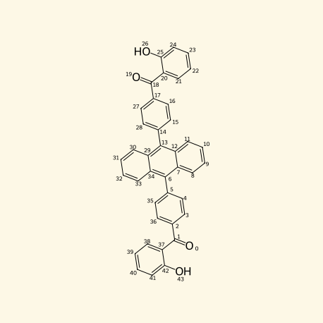 O=C(c1ccc(-c2c3ccccc3c(-c3ccc(C(=O)c4ccccc4O)cc3)c3ccccc23)cc1)c1ccccc1O